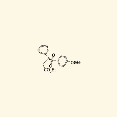 CCOC(=O)CN(c1ccccc1)S(=O)(=O)c1ccc(OC)cc1